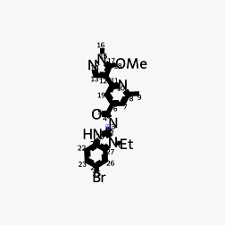 CCn1/c(=N/C(=O)c2cc(C)nc(-c3cnn(C)c3OC)c2)[nH]c2ccc(Br)cc21